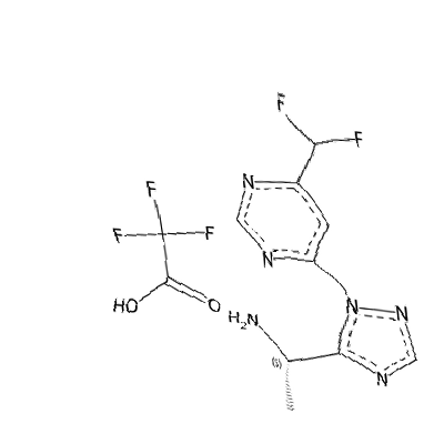 C[C@H](N)c1ncnn1-c1cc(C(F)F)ncn1.O=C(O)C(F)(F)F